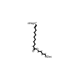 CCCCCCCC=CCCCCCCCCC(=O)OCCCCCCCCCCCCCC